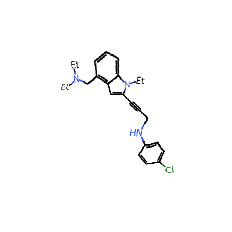 CCN(CC)Cc1cccc2c1cc(C#CCNc1ccc(Cl)cc1)n2CC